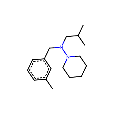 Cc1cccc(CN(CC(C)C)N2CCCCC2)c1